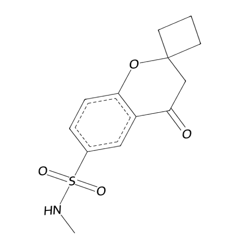 CNS(=O)(=O)c1ccc2c(c1)C(=O)CC1(CCC1)O2